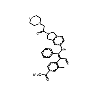 COC(=O)c1ccc(/C(C=S)=C(/Nc2ccc3c(c2)CN(C(=O)CN2CCOCC2)C3)c2ccccc2)c(C)c1